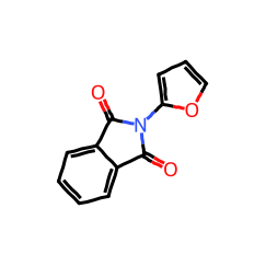 O=C1c2ccccc2C(=O)N1c1ccco1